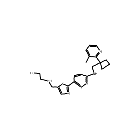 Cc1cccnc1C1(CNc2ccc(-c3ncc(CNCCO)s3)nn2)CCC1